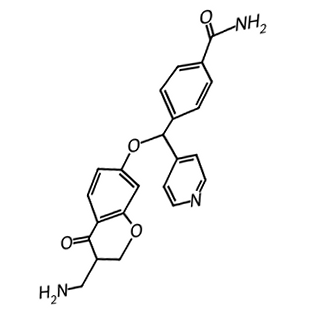 NCC1COc2cc(OC(c3ccncc3)c3ccc(C(N)=O)cc3)ccc2C1=O